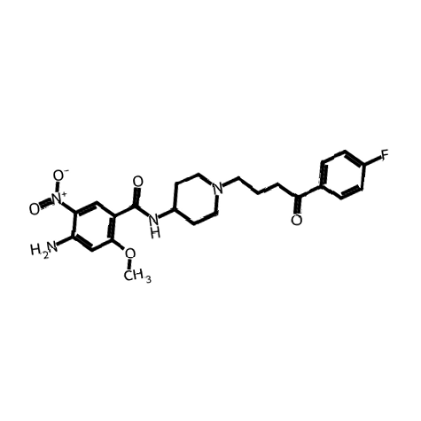 COc1cc(N)c([N+](=O)[O-])cc1C(=O)NC1CCN(CCCC(=O)c2ccc(F)cc2)CC1